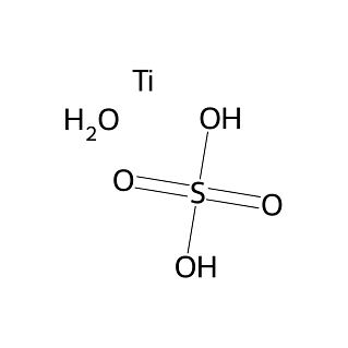 O.O=S(=O)(O)O.[Ti]